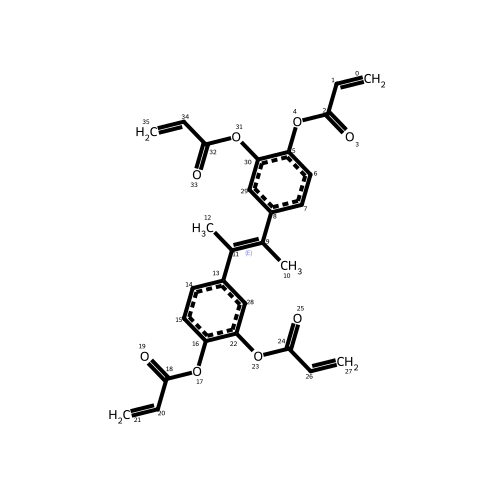 C=CC(=O)Oc1ccc(/C(C)=C(\C)c2ccc(OC(=O)C=C)c(OC(=O)C=C)c2)cc1OC(=O)C=C